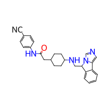 N#Cc1ccc(NC(=O)CC2CCC(NCC3c4ccccc4-c4cncn43)CC2)cc1